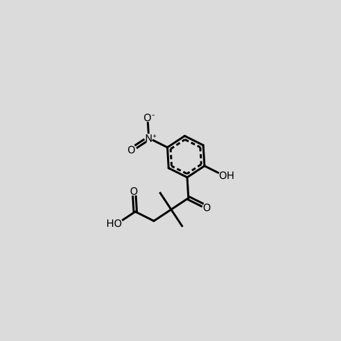 CC(C)(CC(=O)O)C(=O)c1cc([N+](=O)[O-])ccc1O